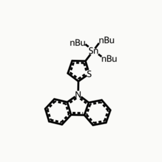 CCC[CH2][Sn]([CH2]CCC)([CH2]CCC)[c]1ccc(-n2c3ccccc3c3ccccc32)s1